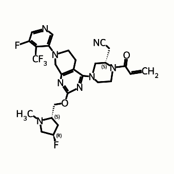 C=CC(=O)N1CCN(c2nc(OC[C@@H]3C[C@@H](F)CN3C)nc3c2CCN(c2cncc(F)c2C(F)(F)F)C3)C[C@@H]1CC#N